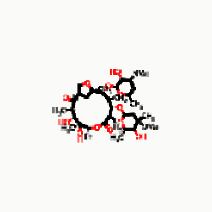 CC[C@H]1OC(=O)[C@H](C)[C@@H](O[C@H]2C[C@@](C)(OC)[C@@H](O)[C@H](C)O2)[C@H](C)[C@@H](O[C@@H]2O[C@H](C)C[C@H](NC)[C@H]2O)[C@@]2(C)C[C@@H](CO2)C(=O)[C@H](C)[C@@H](O)[C@]1(C)O